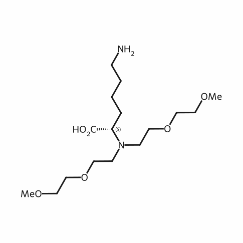 COCCOCCN(CCOCCOC)[C@@H](CCCCN)C(=O)O